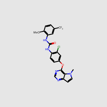 COc1ccc(C(F)(F)F)cc1NC(=O)Nc1ccc(Oc2ncnc3ccn(C)c23)cc1Cl